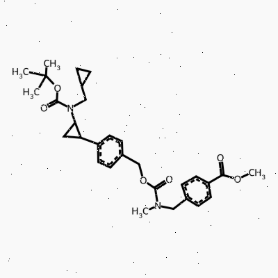 COC(=O)c1ccc(CN(C)C(=O)OCc2ccc(C3CC3N(CC3CC3)C(=O)OC(C)(C)C)cc2)cc1